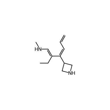 C=C/C=C(\C(=C\NC)CC)C1CNC1